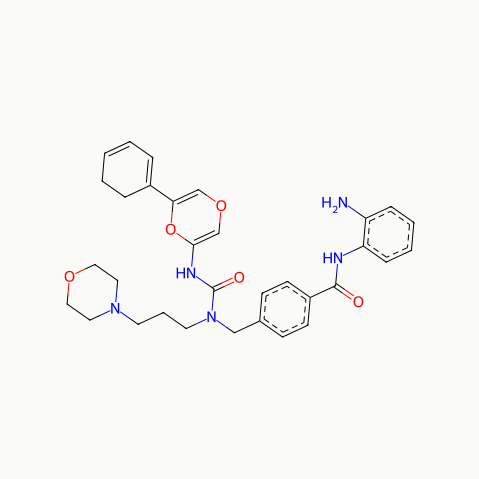 Nc1ccccc1NC(=O)c1ccc(CN(CCCN2CCOCC2)C(=O)NC2=COC=C(C3=CC=CCC3)O2)cc1